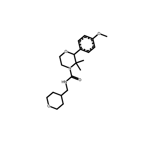 COc1ccc(C2OCCN(C(=O)NCC3CCOCC3)C2(C)C)cc1